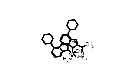 CC1=Cc2c(C3CCCCC3)cccc2[CH]1[Zr]([CH3])([CH3])(=[SiH2])[CH]1C(C(C)C)=Cc2c(C3CCCCC3)cccc21